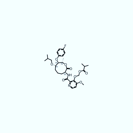 COc1ccnc(C(=O)N[C@H]2CCC[C@H](OCC(C)C)[C@@H](Oc3ccc(F)cc3)[C@H](C)OC2=O)c1OCOC(=O)C(C)C